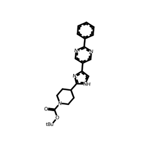 CC(C)(C)OC(=O)N1CCC(c2nc(-c3cnc(-c4ccccc4)nc3)c[nH]2)CC1